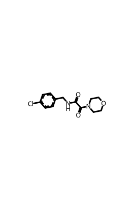 O=C(NCc1ccc(Cl)cc1)C(=O)N1CCOCC1